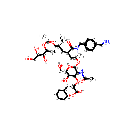 CC[C@@H](CO[C@@H](C)OC(C)C(O)[C@H](O)CO)CC(C[C@H](C)O[C@@H]1O[C@@H](CO)C(O)C(O[C@@H](CC2CCCCC2)C(=O)O)C1NC(C)=O)C(=O)NCc1ccc(CN)cc1